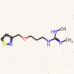 CN=C(NC#N)NCCCOCc1ccsn1